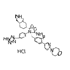 Cl.NC[C@H]1CC[C@H](C(=O)N(c2ccc(-c3nn[nH]n3)cc2)[C@@H](Cc2ccc(-c3ccc(N4CCOCC4)nc3)c(F)c2)C(N)=O)CC1